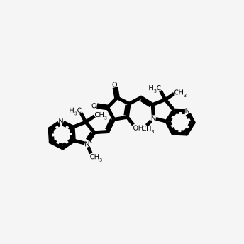 CN1/C(=C\C2=C(O)C(=C/C3=[N+](C)c4cccnc4C3(C)C)/C(=O)C2=O)C(C)(C)c2ncccc21